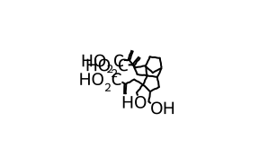 C=C(CC12CCC(C1)C1CC(CO)C(CO)(CC(=C)C(=O)O)C12CC(=C)C(=O)O)C(=O)O